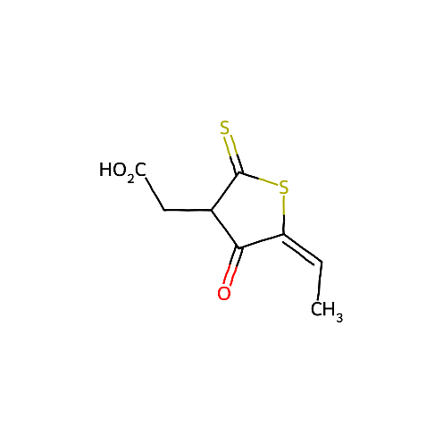 C/C=C1/SC(=S)C(CC(=O)O)C1=O